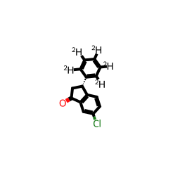 [2H]c1c([2H])c([2H])c([C@H]2CC(=O)c3cc(Cl)ccc32)c([2H])c1[2H]